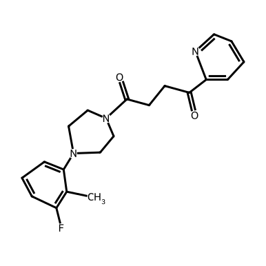 Cc1c(F)cccc1N1CCN(C(=O)CCC(=O)c2ccccn2)CC1